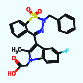 Cc1c(C2=NN(Cc3ccccc3)S(=O)(=O)c3ccccc32)c2cc(F)ccc2n1CC(=O)O